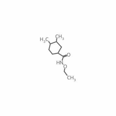 CCONC(=O)C1CCC(C)C(C)C1